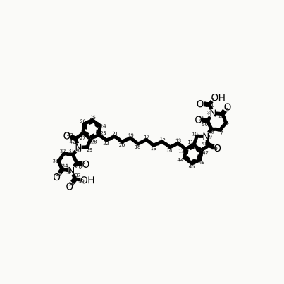 O=C(O)N1C(=O)CCC(N2Cc3c(CCCCCCCCCCc4cccc5c4CN(C4CCC(=O)N(C(=O)O)C4=O)C5=O)cccc3C2=O)C1=O